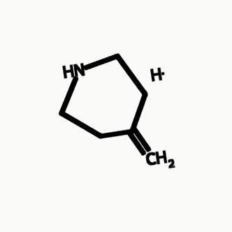 C=C1CCNCC1.[H]